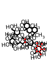 CC1(O)CCC2C(COC3OC(CO)C(O)C(OC4OC(CO)C(O)C(O)C4O)C3OC3OC(CO)C(O)C(O)C3O)(CCC3C(C)(C(=O)OC4OC(CO)C(O)C(OC5OC(CO)C(O)C(O)C5O)C4OC4OC(CO)C(O)C(O)C4O)CCCC23C)C1